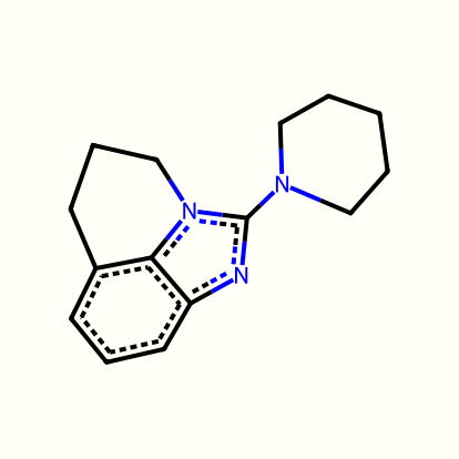 c1cc2c3c(c1)nc(N1CCCCC1)n3CCC2